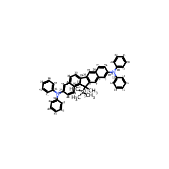 CC1([Si](C)(C)C)c2cc3cc(N(c4ccccc4)c4ccccc4)ccc3cc2-c2ccc3cc(N(c4ccccc4)c4ccccc4)ccc3c21